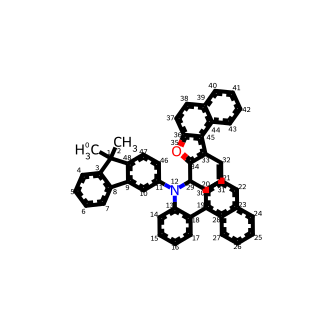 CC1(C)c2ccccc2-c2cc(N(c3ccccc3-c3cccc4ccccc34)C3CC=Cc4c3oc3ccc5ccccc5c43)ccc21